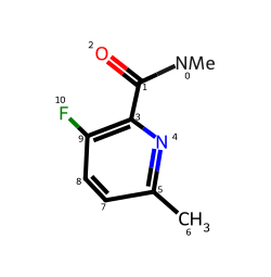 CNC(=O)c1nc(C)ccc1F